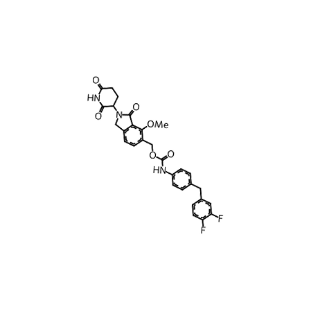 COc1c(COC(=O)Nc2ccc(Cc3ccc(F)c(F)c3)cc2)ccc2c1C(=O)N(C1CCC(=O)NC1=O)C2